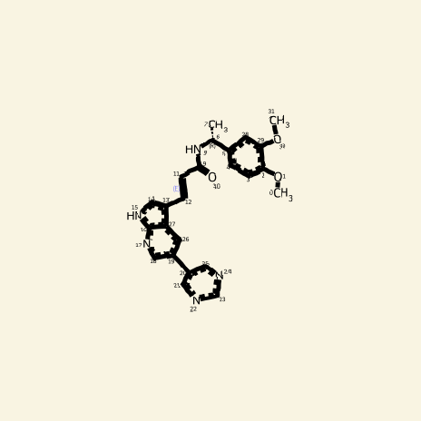 COc1ccc([C@@H](C)NC(=O)/C=C/c2c[nH]c3ncc(-c4cncnc4)cc23)cc1OC